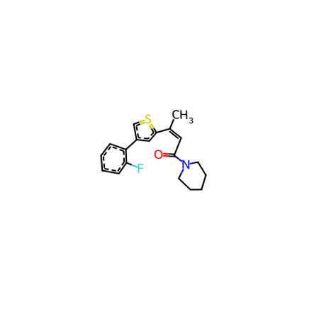 CC(=CC(=O)N1CCCCC1)c1cc(-c2ccccc2F)cs1